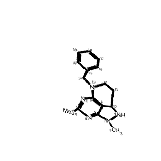 CSc1nc2c3c(n1)N(C)NC3CCN2Cc1ccccc1